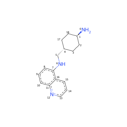 N[C@H]1CC[C@H](CNc2cccc3ncccc23)CC1